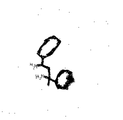 CC(N)(CC(N)c1ccccc1)c1ccccc1